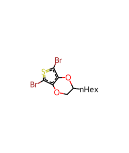 CCCCCCC1COc2c(Br)sc(Br)c2O1